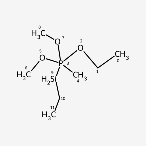 CCOP(C)(OC)(OC)[SiH2]CC